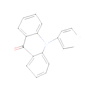 C/C=C\C(=C/C)n1c2ccccc2c(=O)c2ccccc21